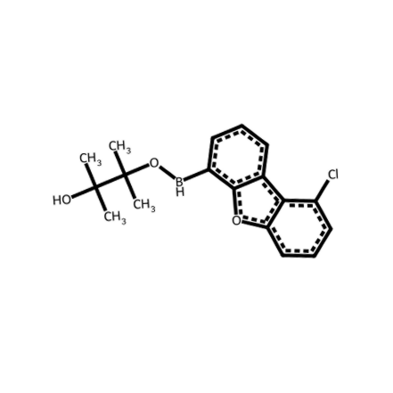 CC(C)(O)C(C)(C)OBc1cccc2c1oc1cccc(Cl)c12